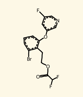 O=C(OCCc1c(Br)cccc1Oc1cncc(F)c1)C(F)F